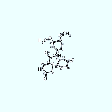 COc1ccc(NC(=O)C2=CNC(=O)C[C@H]2c2ccc(F)cc2)cc1OC